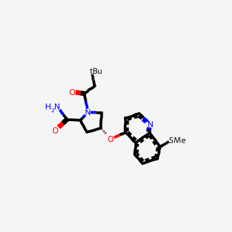 CSc1cccc2c(O[C@@H]3CC(C(N)=O)N(C(=O)CC(C)(C)C)C3)ccnc12